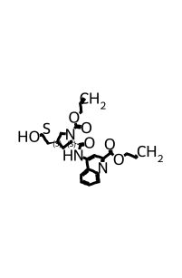 C=CCOC(=O)c1cc(NC(=O)[C@@H]2C[C@@H](CC(O)=S)CN2C(=O)OCC=C)c2ccccc2n1